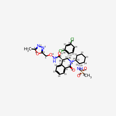 Cc1nnc(CONC(=O)[C@@H]2c3ccccc3C(=O)N([C@H]3CCCC[C@@H]3NS(C)(=O)=O)[C@H]2c2ccc(Cl)cc2Cl)o1